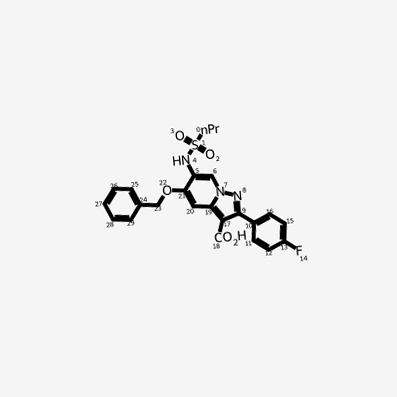 CCCS(=O)(=O)Nc1cn2nc(-c3ccc(F)cc3)c(C(=O)O)c2cc1OCc1ccccc1